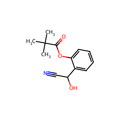 CC(C)(C)C(=O)Oc1ccccc1C(O)C#N